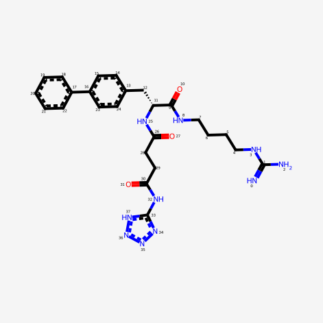 N=C(N)NCCCCNC(=O)[C@@H](Cc1ccc(-c2ccccc2)cc1)NC(=O)CCC(=O)Nc1nnn[nH]1